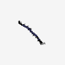 COC(C)(C)CCC/C(C)=C/C=C/C(C)=C/C=C/C(C)=C/C=C/C=C(C)/C=C/C=C(\C)CC/C=C(\C)CCCC(C)(C)O